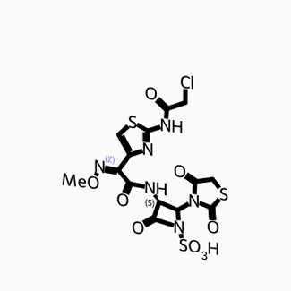 CO/N=C(\C(=O)N[C@@H]1C(=O)N(S(=O)(=O)O)C1N1C(=O)CSC1=O)c1csc(NC(=O)CCl)n1